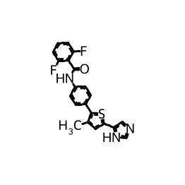 Cc1cc(-c2cnc[nH]2)sc1-c1ccc(NC(=O)c2c(F)cccc2F)cc1